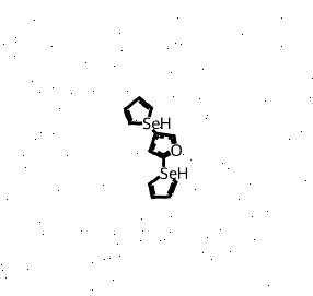 C1=C[SeH](c2coc([SeH]3C=CC=C3)c2)C=C1